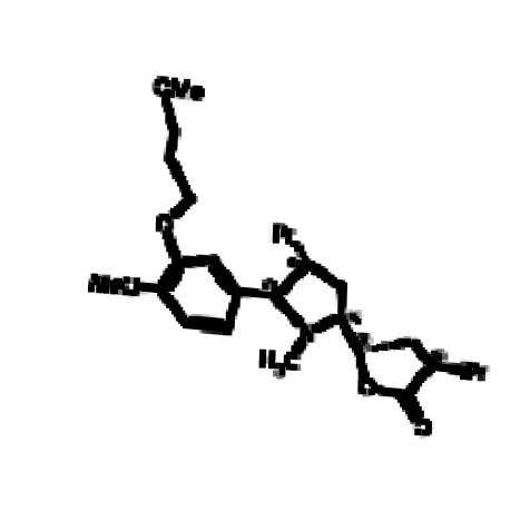 COCCCOc1cc([C@H]2[C@H](C(C)C)C[C@@H]([C@@H]3C[C@@H](C(C)C)C(=O)O3)N2C)ccc1OC